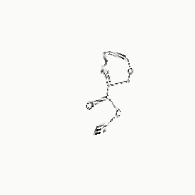 CCOC(=O)C1=CC=CO[C]1